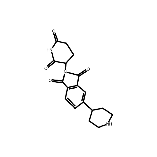 O=C1CCC(N2C(=O)c3ccc(C4CCNCC4)cc3C2=O)C(=O)N1